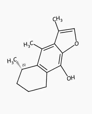 Cc1coc2c(O)c3c(c(C)c12)[C@@H](C)CCC3